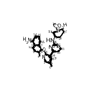 Cc1cnc(Oc2c(C)ccc3c(N)cccc23)c(-c2ccnc(N[C@H]3CCCN(C(=O)O)C3)n2)c1